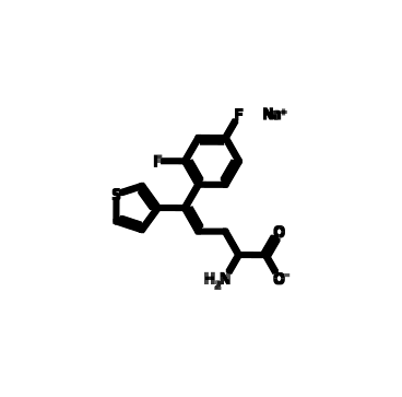 NC(C/C=C(/c1ccsc1)c1ccc(F)cc1F)C(=O)[O-].[Na+]